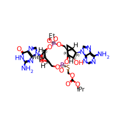 CCO[P@@]1(=O)OC[C@@]23C[C@@H]2[C@@H](n2cnc4c(N)ncnc42)[C@H](O)[C@@H]3O[P@@](=O)(SCOC(=O)OC(C)C)OC[C@H]2O[C@@H](n3cnc4c(=O)[nH]c(N)nc43)[C@H](O1)[C@@H]2OC